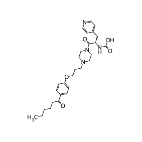 CCCCCC(=O)c1ccc(OCCCN2CCN(C(=O)[C@@H](Cc3ccncc3)NC(=O)O)CC2)cc1